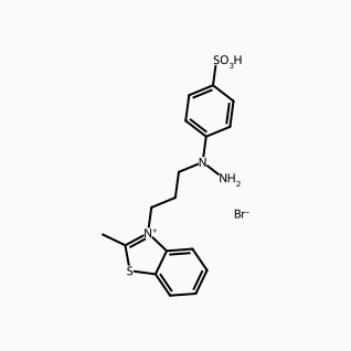 Cc1sc2ccccc2[n+]1CCCN(N)c1ccc(S(=O)(=O)O)cc1.[Br-]